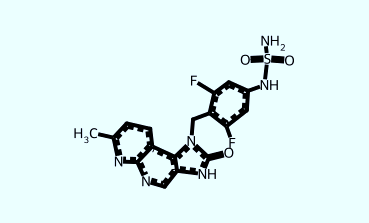 Cc1ccc2c(ncc3[nH]c(=O)n(Cc4c(F)cc(NS(N)(=O)=O)cc4F)c32)n1